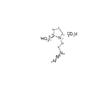 [N-]=[N+]=NCCN1[C@@H](C(=O)O)CC[C@@H]1C(=O)O